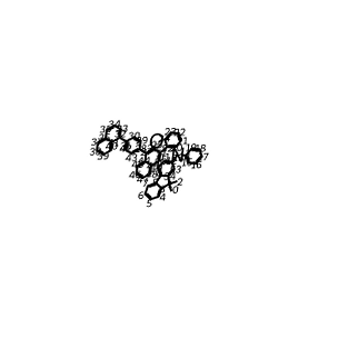 CC1(C)c2ccccc2-c2ccc(N(c3ccccc3)c3cccc4oc5c(-c6ccc(-c7cccc8ccccc78)cc6)c6ccccc6cc5c34)cc21